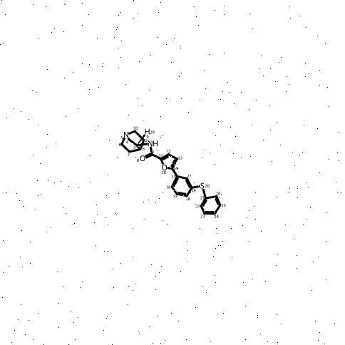 O=C(N[C@H]1CN2CCC1CC2)c1ccc(-c2cccc(Sc3ccccc3)c2)o1